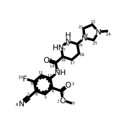 COC(=O)c1cc(C#N)c(F)cc1NC(=O)C1CCC(N2CCN(C)C2)NN1